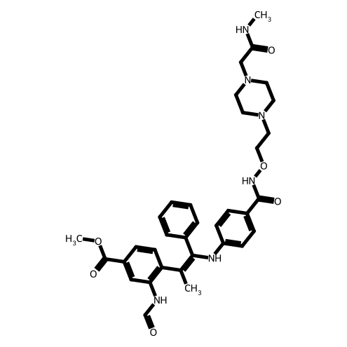 CNC(=O)CN1CCN(CCONC(=O)c2ccc(N/C(=C(\C)c3ccc(C(=O)OC)cc3NC=O)c3ccccc3)cc2)CC1